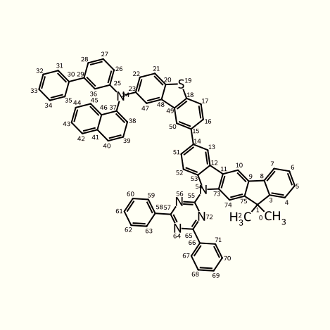 CC1(C)c2ccccc2-c2cc3c4cc(-c5ccc6sc7ccc(N(c8cccc(-c9ccccc9)c8)c8cccc9ccccc89)cc7c6c5)ccc4n(-c4nc(-c5ccccc5)nc(-c5ccccc5)n4)c3cc21